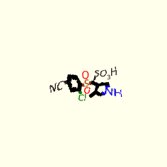 C=C1CNCC1[C@H](S(=O)(=O)O)S(=O)(=O)c1ccc(C#N)cc1Cl